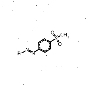 CC(C)/N=N/c1ccc(S(C)(=O)=O)cc1